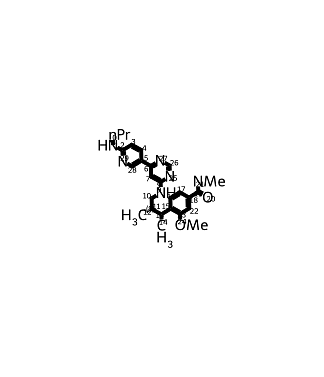 CCCNc1ccc(-c2cc(NC[C@@H](C)C(C)c3ccc(C(=O)NC)cc3OC)ncn2)cn1